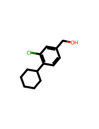 OCc1ccc(C2CCCCC2)c(Cl)c1